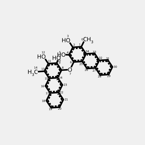 Cc1c(O)c(O)c(Oc2c(O)c(O)c(C)c3cc4ccccc4cc23)c2cc3ccccc3cc12